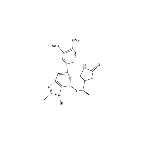 COc1ccc(-c2cc3nc(C)n(C(C)C)c3c(O[C@H](C)C3CNC(=O)C3)n2)cc1OC